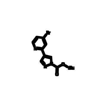 CC(C)(C)OC(=O)n1cc(-c2cc(Br)ccn2)cn1